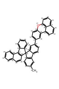 Cc1ccc2c(c1)-c1ccc(-c3ccc4c(c3)-c3cccc5cccc(c35)O4)cc1C21c2ccccc2-c2c1ccc1ccccc21